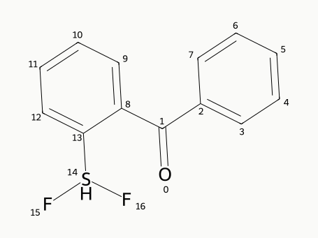 O=C(c1ccccc1)c1ccccc1[SH](F)F